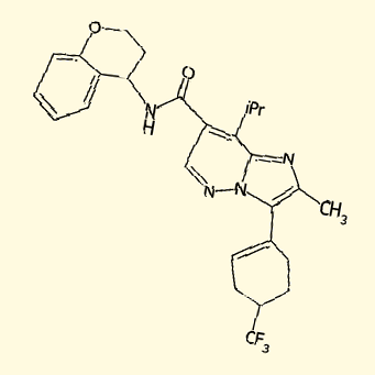 Cc1nc2c(C(C)C)c(C(=O)NC3CCOc4ccccc43)cnn2c1C1=CCC(C(F)(F)F)CC1